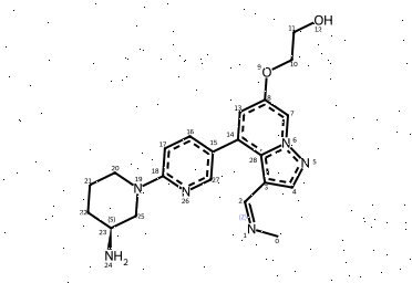 C/N=C\c1cnn2cc(OCCO)cc(-c3ccc(N4CCC[C@H](N)C4)nc3)c12